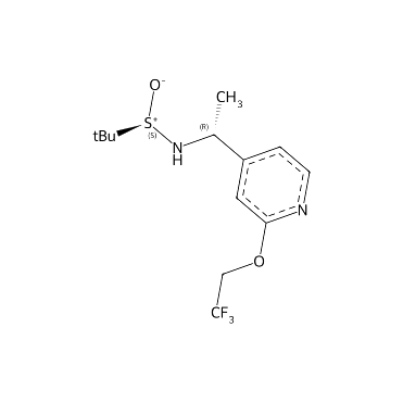 C[C@@H](N[S@+]([O-])C(C)(C)C)c1ccnc(OCC(F)(F)F)c1